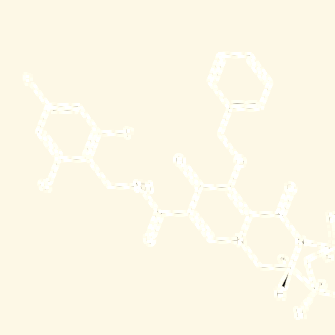 O=C(NCc1c(F)cc(F)cc1Cl)c1cn2c(c(OCc3ccccc3)c1=O)C(=O)N1[C@H]3CC[C@H](C3)[C@@H]1C2